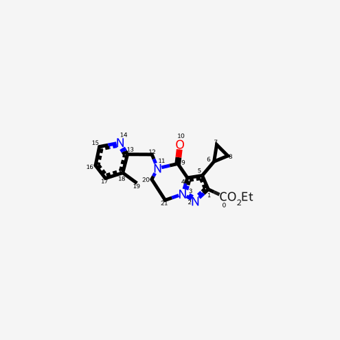 CCOC(=O)c1nn2c(c1C1CC1)C(=O)N(Cc1ncccc1C)CC2